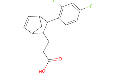 O=C(O)CCC1C2C=CC(C2)C1c1ccc(F)cc1F